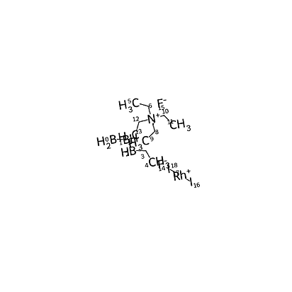 BBBCC.CC[N+](CC)(CC)CC.[F-].[F-].[I][Rh+][I]